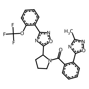 Cc1noc(-c2ccccc2C(=O)N2CCCC2c2nc(-c3ccccc3OC(F)(F)F)no2)n1